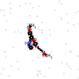 C=CC(=O)OCCCCCCOc1ccc(C(=O)Oc2ccc(-c3ccc(OOC(=O)C=C)cc3)cc2/C=N/Nc2nc3ccccc3o2)cc1